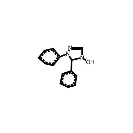 ON1[C]=NN(c2ccccc2)C1c1ccccc1